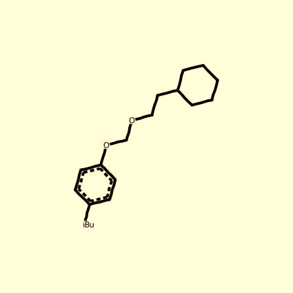 CCC(C)c1ccc(OCOCCC2CCCCC2)cc1